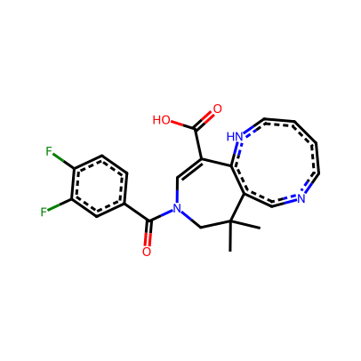 CC1(C)CN(C(=O)c2ccc(F)c(F)c2)C=C(C(=O)O)c2[nH]ccccncc21